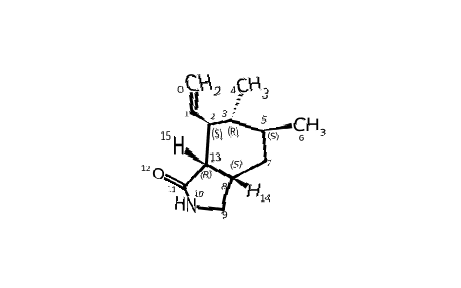 C=C[C@H]1[C@H](C)[C@@H](C)C[C@@H]2CNC(=O)[C@@H]21